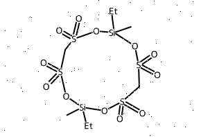 CC[Si]1(C)OS(=O)(=O)CS(=O)(=O)O[Si](C)(CC)OS(=O)(=O)CS(=O)(=O)O1